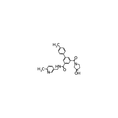 Cc1ccc(-c2cc(C(=O)NCc3ccc(C)nc3)cc(C(=O)N3CC[C@@H](O)C3)c2)cc1